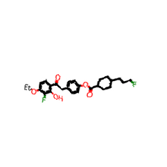 CCOc1ccc(C(=O)Cc2ccc(OC(=O)C3CCC(CCCF)CC3)cc2)c(O)c1F